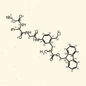 CC(C)C(NC(=O)OC(C)(C)C)C(=O)NCC(=O)Nc1ccc(CCl)c(CN(C)C(=O)OCC2c3ccccc3-c3ccccc32)c1